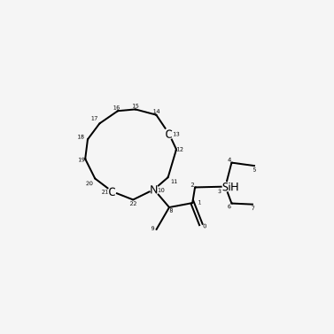 C=C(C[SiH](CC)CC)C(C)N1CCCCCCCCCCCC1